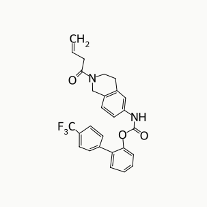 C=CCC(=O)N1CCc2cc(NC(=O)Oc3ccccc3-c3ccc(C(F)(F)F)cc3)ccc2C1